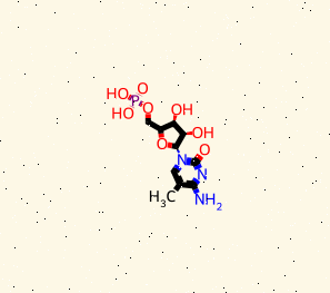 Cc1cn([C@@H]2OC(COP(=O)(O)O)[C@@H](O)[C@H]2O)c(=O)nc1N